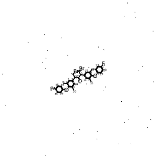 Cc1cc(C(CBr)C(=O)C(CBr)c2cc(C)c(Oc3ccc(F)cc3)c(C)c2)cc(C)c1Oc1ccc(F)cc1